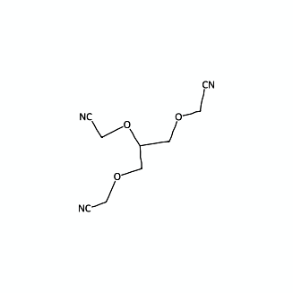 N#CCOCC(COCC#N)OCC#N